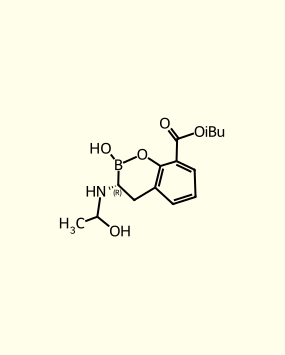 CC(C)COC(=O)c1cccc2c1OB(O)[C@@H](NC(C)O)C2